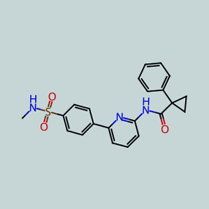 CNS(=O)(=O)c1ccc(-c2cccc(NC(=O)C3(c4ccccc4)CC3)n2)cc1